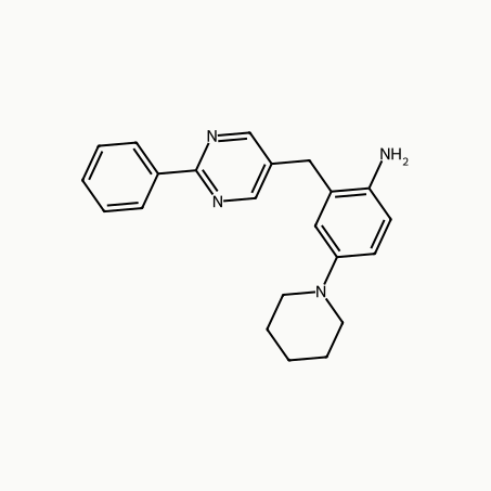 Nc1ccc(N2CCCCC2)cc1Cc1cnc(-c2ccccc2)nc1